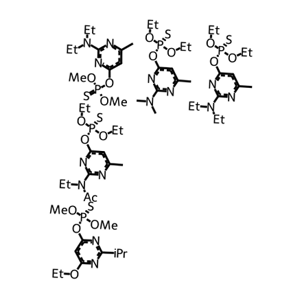 CCN(CC)c1nc(C)cc(OP(=S)(OC)OC)n1.CCOP(=S)(OCC)Oc1cc(C)nc(N(C)C)n1.CCOP(=S)(OCC)Oc1cc(C)nc(N(CC)C(C)=O)n1.CCOP(=S)(OCC)Oc1cc(C)nc(N(CC)CC)n1.CCOc1cc(OP(=S)(OC)OC)nc(C(C)C)n1